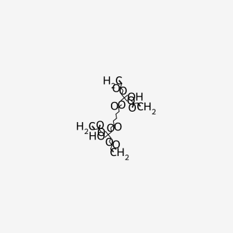 C=CC(=O)OCC(CO)(COC(=O)C=C)COC(=O)CCCCC(=O)OCC(CO)(COC(=O)C=C)COC(=O)C=C